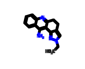 Nc1c2c(nc3ccccc13)CCc1cn(CC(=O)O)nc1-2